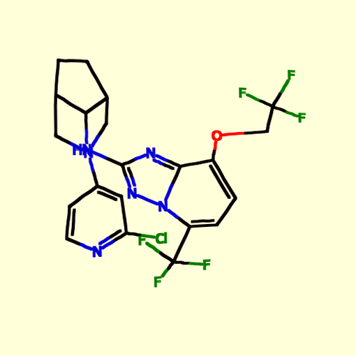 FC(F)(F)COc1ccc(C(F)(F)F)n2nc(NC3C4CCC3CN(c3ccnc(Cl)c3)C4)nc12